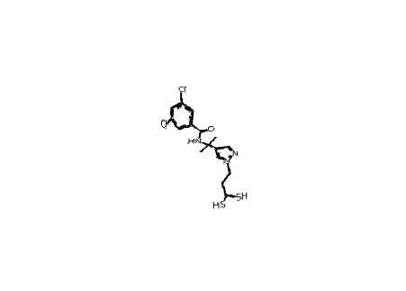 CC(C)(NC(=O)c1cc(Cl)cc(Cl)c1)c1cnn(CCC(S)S)c1